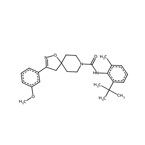 COc1cccc(C2=NOC3(CCN(C(=O)Nc4c(C)cccc4C(C)(C)C)CC3)C2)c1